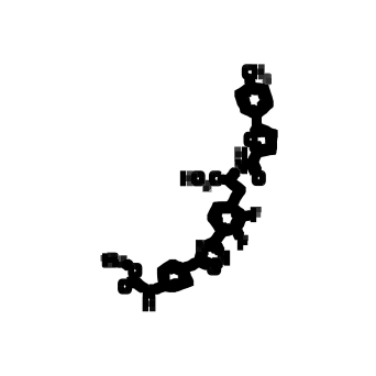 Cc1ccc(-c2ccc(C(=O)NC(Cc3ccc(-c4noc(-c5ccc(NC(=O)OC(C)(C)C)cc5)n4)c(F)c3F)C(=O)O)o2)cc1